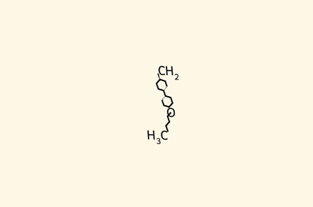 C=C[C@H]1CC[C@H]([C@H]2CC[C@H](OCCCCC)CC2)CC1